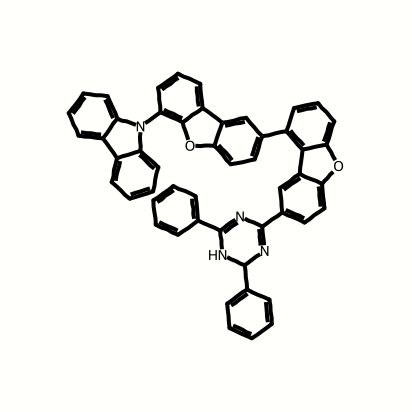 c1ccc(C2=NC(c3ccc4oc5cccc(-c6ccc7oc8c(-n9c%10ccccc%10c%10ccccc%109)cccc8c7c6)c5c4c3)=NC(c3ccccc3)N2)cc1